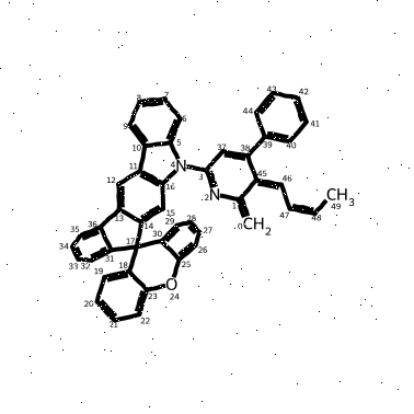 C=c1nc(-n2c3ccccc3c3cc4c(cc32)C2(c3ccccc3Oc3ccccc32)c2ccccc2-4)cc(-c2ccccc2)/c1=C/C=C\C